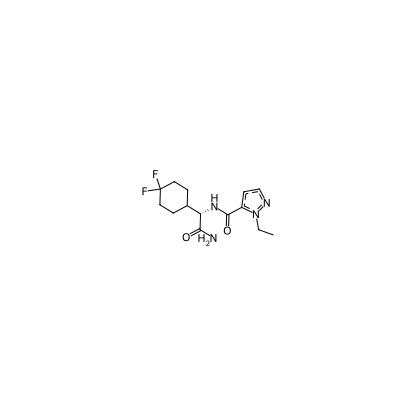 CCn1nccc1C(=O)N[C@H](C(N)=O)C1CCC(F)(F)CC1